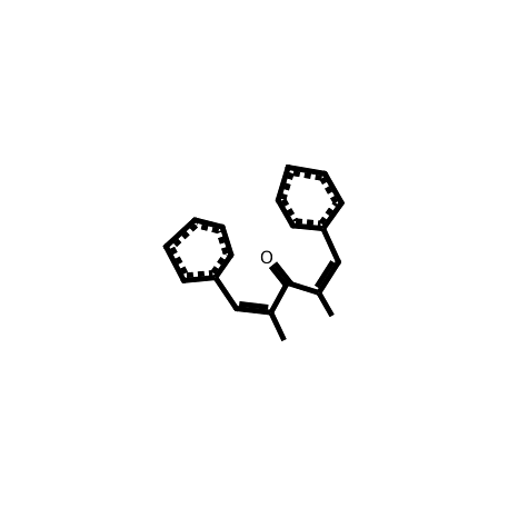 C/C(=C/c1ccccc1)C(=O)/C(C)=C\c1ccccc1